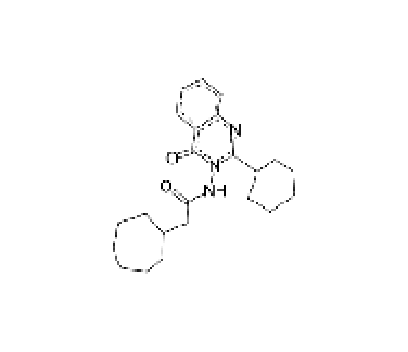 O=C(CC1CCCCCC1)Nn1c(C2CCCCC2)nc2ccccc2c1=O